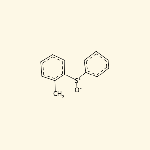 Cc1ccccc1[S+]([O-])c1ccccc1